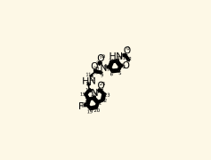 O=C1COc2ccc(N3C[C@@H](CNC[C@@H]4Cc5c(F)ccc6ccc(=O)n4c56)OC3=O)cc2N1